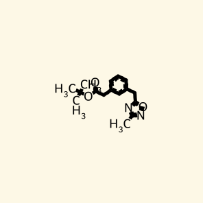 Cc1noc(Cc2cccc(CC(=O)OC(C)(C)C)c2)n1